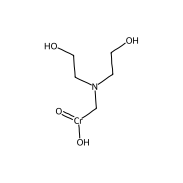 [O]=[Cr]([OH])[CH2]N(CCO)CCO